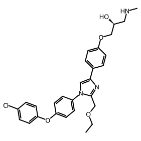 CCOCc1nc(-c2ccc(OC[C@@H](O)CNC)cc2)cn1-c1ccc(Oc2ccc(Cl)cc2)cc1